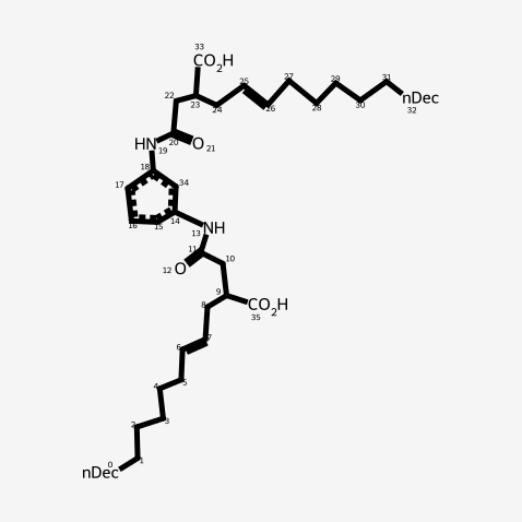 CCCCCCCCCCCCCCC/C=C/CC(CC(=O)Nc1cccc(NC(=O)CC(C/C=C/CCCCCCCCCCCCCCC)C(=O)O)c1)C(=O)O